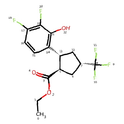 CCOC(=O)[C@@H]1C[C@@H](C(F)(F)F)C[C@H]1c1ccc(F)c(F)c1O